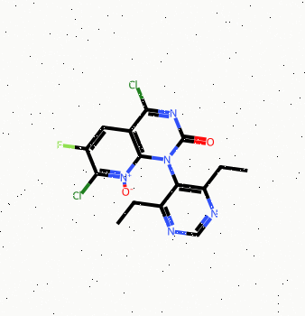 CCc1ncnc(CC)c1-n1c(=O)nc(Cl)c2cc(F)c(Cl)[n+]([O-])c21